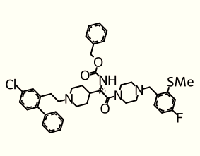 CSc1cc(F)ccc1CN1CCN(C(=O)[C@H](NC(=O)OCc2ccccc2)C2CCN(CCc3cc(Cl)ccc3-c3ccccc3)CC2)CC1